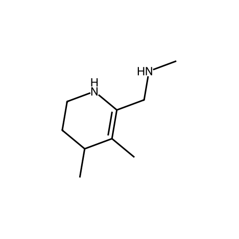 CNCC1=C(C)C(C)CCN1